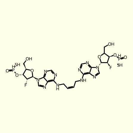 O=[PH](S)O[C@H]1[C@@H](F)[C@H](n2cnc3c(NC/C=C\CNc4ncnc5c4ncn5[C@@H]4OC(CO)[C@@H](O[PH](=O)S)[C@H]4F)ncnc32)O[C@@H]1CO